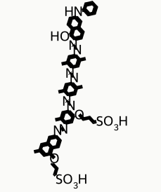 Cc1cc(OCCCS(=O)(=O)O)c2ccc(N=Nc3cc(OCCCS(=O)(=O)O)c(N=Nc4cc(C)c(N=Nc5cc(C)c(N=Nc6ccc7cc(Nc8ccccc8)ccc7c6O)cc5C)cc4C)cc3C)cc2c1